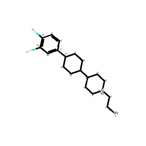 CC(C)CC[SiH]1CCC(C2CCC(c3ccc(F)c(F)c3)CC2)CC1